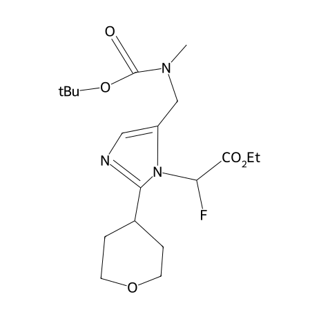 CCOC(=O)C(F)n1c(CN(C)C(=O)OC(C)(C)C)cnc1C1CCOCC1